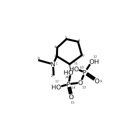 CN(C)C1CCCCC1.O=P(O)(O)OP(=O)(O)O